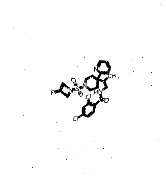 CC(CNC(=O)c1ccc(Cl)cc1Cl)C1(c2ccccn2)CCN(S(=O)(=O)N2CC(F)C2)CC1